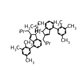 Cc1cc(C)c(C)c(-c2cccc3c2C=C(CC(C)C)[CH]3[Hf]([CH]2C(CC(C)C)=Cc3c(-c4cc(C)cc(C)c4C)cccc32)[SiH](C)C)c1